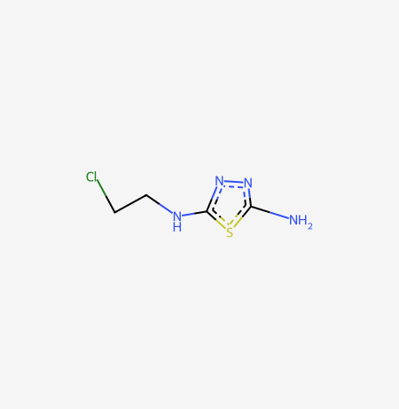 Nc1nnc(NCCCl)s1